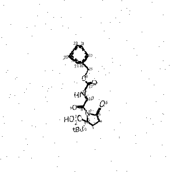 CC(C)(C)[C@@]1(C(=O)O)CCC(=O)N1C(=O)CNC(=O)OCc1ccccc1